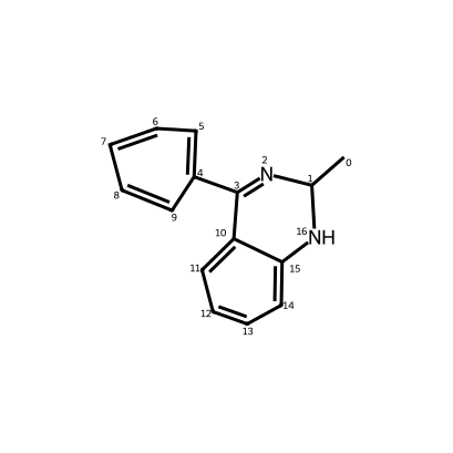 CC1N=C(c2ccccc2)c2ccccc2N1